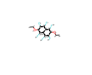 CCOc1c(F)c(F)c2c(F)c(OCC)c(F)c(F)c2c1F